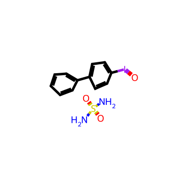 NS(N)(=O)=O.O=Ic1ccc(-c2ccccc2)cc1